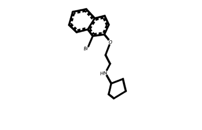 Brc1c(OCCNC2CCCC2)ccc2ccccc12